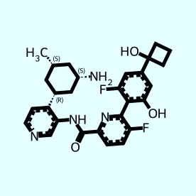 C[C@@H]1C[C@H](N)C[C@H](c2ccncc2NC(=O)c2ccc(F)c(-c3c(O)cc(C4(O)CCC4)cc3F)n2)C1